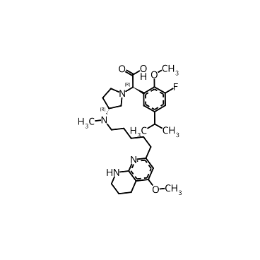 COc1cc(CCCCCN(C)[C@@H]2CCN([C@@H](C(=O)O)c3cc(C(C)C)cc(F)c3OC)C2)nc2c1CCCN2